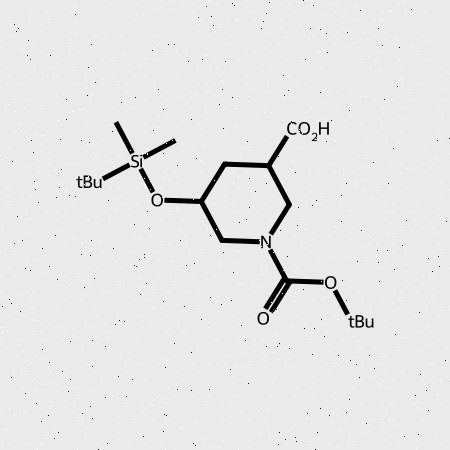 CC(C)(C)OC(=O)N1CC(O[Si](C)(C)C(C)(C)C)CC(C(=O)O)C1